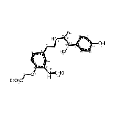 CCOC(=O)COc1ccc(CCN[C@@H](C)[C@@H](O)c2ccc(O)cc2)cc1NC=O